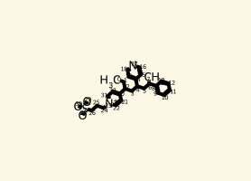 CCC(CC(CC(C)c1ccccc1)c1ccncc1)c1cc[n+](CCCS(=O)(=O)[O-])cc1